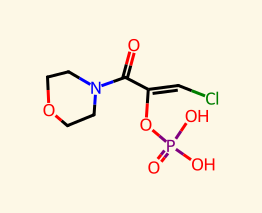 O=C(C(=CCl)OP(=O)(O)O)N1CCOCC1